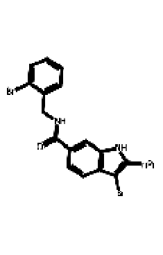 CCCc1[nH]c2cc(C(=O)NCc3ccccc3Br)ccc2c1Br